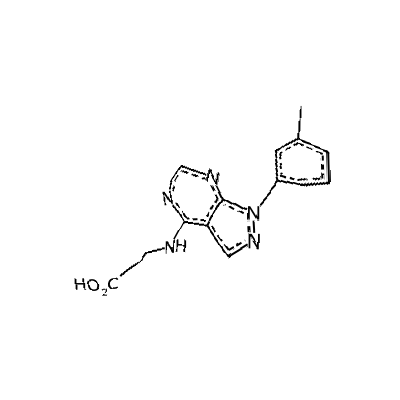 O=C(O)CNc1ncnc2c1cnn2-c1cccc(I)c1